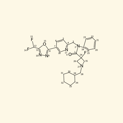 O=C(N(Cc1ccc(-c2nnc(C(F)F)o2)cn1)c1ccccc1)C1(F)CN(CC2CCCCC2)C1